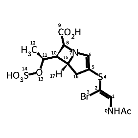 CC(=O)NC=C(Br)SC1=CN2C(C(=O)O)[C@H]([C@H](C)OS(=O)(=O)O)[C@H]2C1